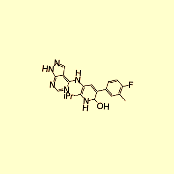 Cc1cc(C2=CC(Nc3ncnc4[nH]ncc34)=C(C(C)C)NC2O)ccc1F